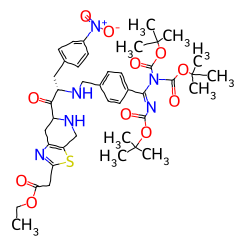 CCOC(=O)Cc1nc2c(s1)CNC(C(=O)[C@H](Cc1ccc([N+](=O)[O-])cc1)NCc1ccc(C(=NC(=O)OC(C)(C)C)N(C(=O)OC(C)(C)C)C(=O)OC(C)(C)C)cc1)C2